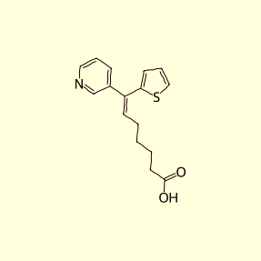 O=C(O)CCCCC=C(c1cccnc1)c1cccs1